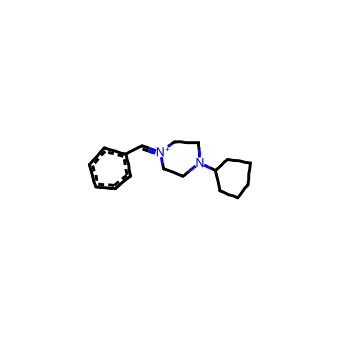 C(c1ccccc1)=[N+]1CCN(C2CCCCC2)CC1